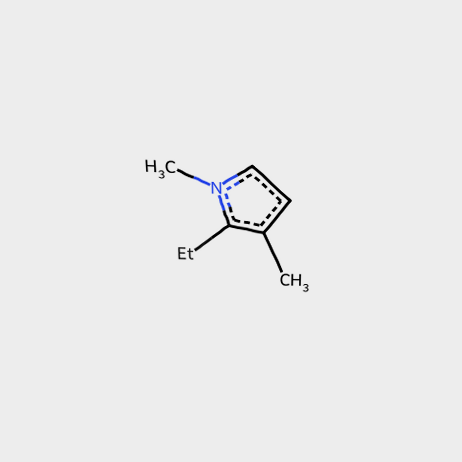 CCc1c(C)ccn1C